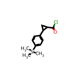 C[Si](C)(C)c1ccc(C2CC2C(=O)Cl)cc1